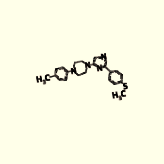 CSc1ccc(-c2cncc(N3CCN(c4ccc(C)cc4)CC3)n2)cc1